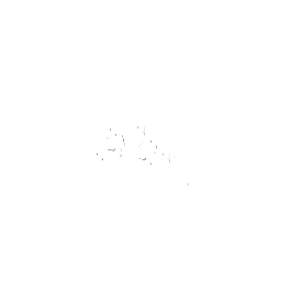 CCCCNc1ncc(-c2cncc(N)n2)c(NC2CCC(O)CC2)n1